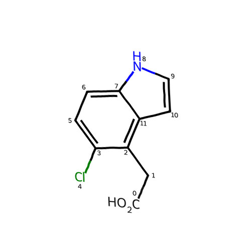 O=C(O)Cc1c(Cl)ccc2[nH]ccc12